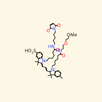 COCCOCCNC(=O)CCCCC[N+]1=C(C=CC=C2N(CCCCCC(=O)NCCCCCN3C(=O)C=CC3=O)c3ccc(S(=O)(=O)O)cc3C2(C)C)C(C)(C)c2cc(C)ccc21